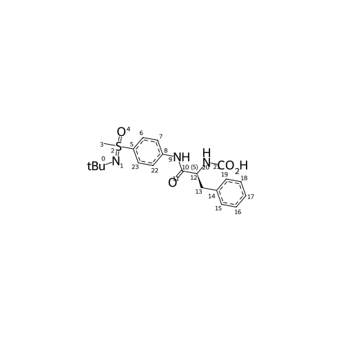 CC(C)(C)N=S(C)(=O)c1ccc(NC(=O)[C@H](Cc2ccccc2)NC(=O)O)cc1